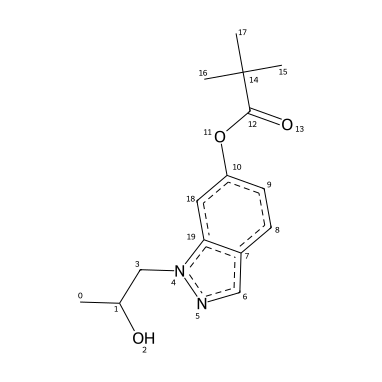 CC(O)Cn1ncc2ccc(OC(=O)C(C)(C)C)cc21